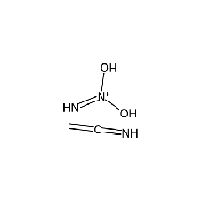 C=C=N.N=[N+](O)O